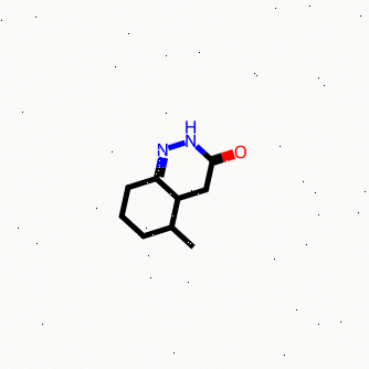 CC1CCCC2=NNC(=O)CC21